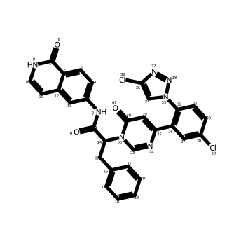 O=C(Nc1ccc2c(=O)[nH]ccc2c1)C(Cc1ccccc1)n1cnc(-c2cc(Cl)ccc2-n2cc(Cl)nn2)cc1=O